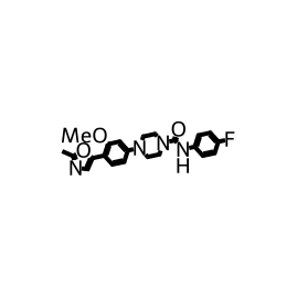 COc1cc(N2CCN(C(=O)Nc3ccc(F)cc3)CC2)ccc1-c1cnc(C)o1